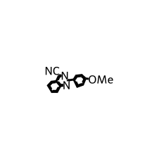 COc1ccc(-c2nc(C#N)c3ccccc3n2)cc1